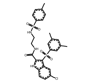 Cc1ccc(S(=O)(=O)NCCNC(=O)c2[nH]c3ccc(Cl)cc3c2S(=O)(=O)c2cc(C)cc(C)c2)cc1